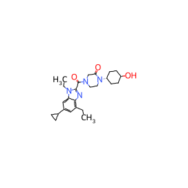 CCc1cc(C2CC2)cc2c1nc(C(=O)N1CCN([C@H]3CC[C@H](O)CC3)C(=O)C1)n2CC